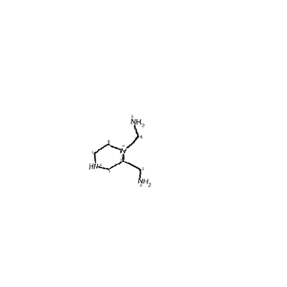 NCC1CNCCN1CN